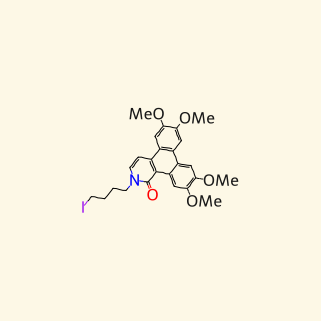 COc1cc2c(cc1OC)c1ccn(CCCCI)c(=O)c1c1cc(OC)c(OC)cc21